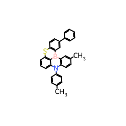 Cc1ccc(N2c3ccc(C)cc3B3c4cc(-c5ccccc5)ccc4Sc4cccc2c43)cc1